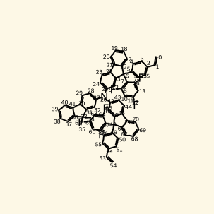 C=Cc1ccc(C2(c3c(F)cc(F)cc3F)c3ccccc3-c3ccc(N(c4ccc5c(c4)C(C)(C)c4ccccc4-5)c4ccc5c(c4)C(c4ccc(C=C)cc4)(c4c(F)cc(F)cc4F)c4ccccc4-5)cc32)cc1